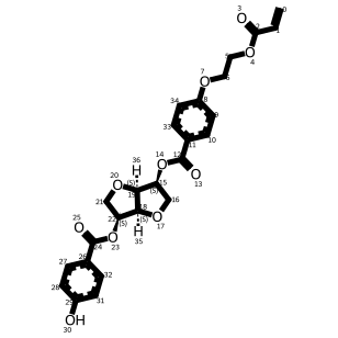 C=CC(=O)OCCOc1ccc(C(=O)O[C@H]2CO[C@@H]3[C@H]2OC[C@@H]3OC(=O)c2ccc(O)cc2)cc1